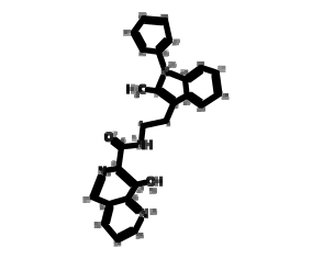 Cc1c(CCNC(=O)c2ncc3cccnc3c2O)c2ccccc2n1-c1ccccc1